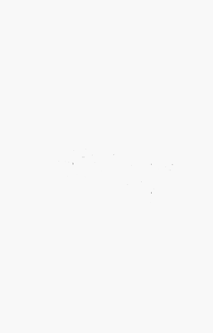 C=C1C(=CC=C2CCC[C@@]3(C)C2CC[C@@H]3[C@H](C)C=C[C@H](C)[C@@](C)(O)CO)C[C@@H](O)C[C@H]1O